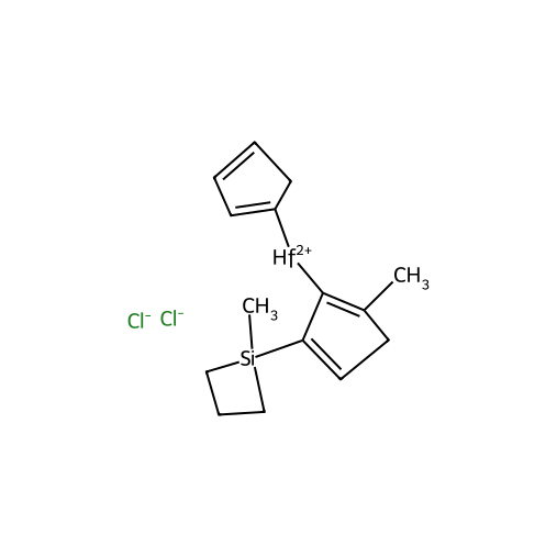 CC1=[C]([Hf+2][C]2=CC=CC2)C([Si]2(C)CCC2)=CC1.[Cl-].[Cl-]